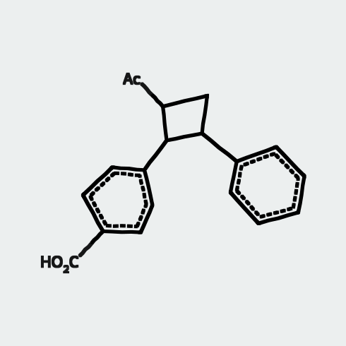 CC(=O)C1CC(c2ccccc2)C1c1ccc(C(=O)O)cc1